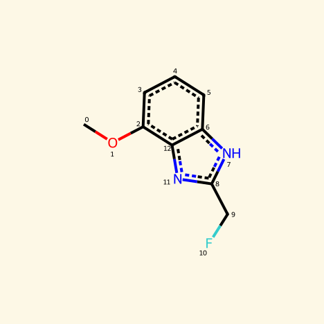 COc1cccc2[nH]c(CF)nc12